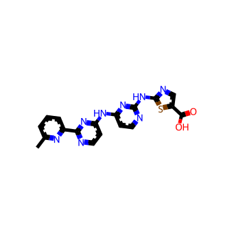 Cc1cccc(-c2nccc(Nc3ccnc(Nc4ncc(C(=O)O)s4)n3)n2)n1